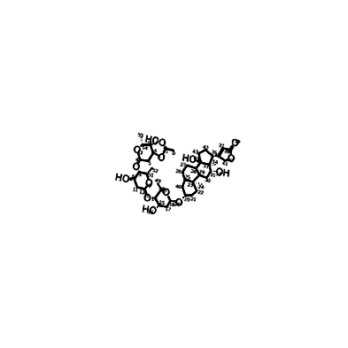 CC(=O)O[C@H]1CC(O[C@H]2[C@@H](O)CC(O[C@H]3[C@@H](O)C[C@H](O[C@H]4CC[C@@]5(C)C(CCC6C5C[C@@H](O)[C@]5(C)[C@@H](C7=CC(=O)OC7)CC[C@]65O)C4)O[C@@H]3C)O[C@@H]2C)O[C@H](C)[C@H]1O